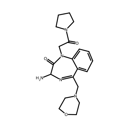 NC1N=C(CN2CCOCC2)c2ccccc2N(CC(=O)N2CCCC2)C1=O